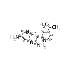 CC(C)c1cnnc(-c2cc3ncc(N)cc3nc2N)c1